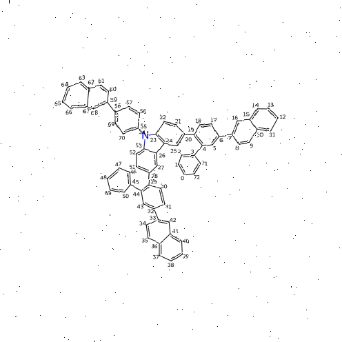 c1ccc(-c2cc(-c3ccc4ccccc4c3)ccc2-c2ccc3c(c2)c2cc(-c4ccc(-c5ccc6ccccc6c5)cc4-c4ccccc4)ccc2n3-c2ccc(-c3ccc4ccccc4c3)cc2)cc1